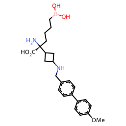 COc1ccc(-c2ccc(CNC3CC([C@](N)(CCCCB(O)O)C(=O)O)C3)cc2)cc1